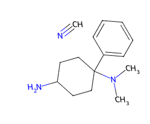 C#N.CN(C)C1(c2ccccc2)CCC(N)CC1